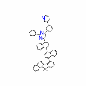 CC1(C)c2cccc(-c3ccc(-c4ccc(-c5cc(-c6cccc(-c7cccnc7)c6)nc(-c6ccccc6)n5)c5ccccc45)c4ccccc34)c2-c2ccc3ccccc3c21